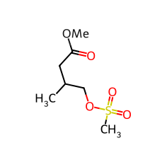 COC(=O)CC(C)COS(C)(=O)=O